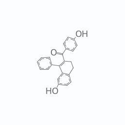 O=C(C1=C(c2ccccc2)c2cc(O)ccc2CC1)c1ccc(O)cc1